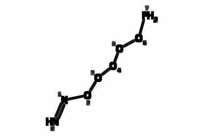 N=NOOOOOP